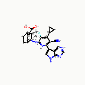 N#Cc1c(-c2c[nH]c3ncncc23)nc(N[C@H]2C3CCC(CC3)[C@@H]2C(=O)O)c(F)c1C1CC1